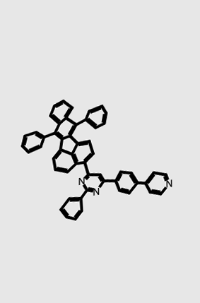 c1ccc(-c2nc(-c3ccc(-c4ccncc4)cc3)cc(-c3ccc4c5c(cccc35)-c3c-4c(-c4ccccc4)c4ccccc4c3-c3ccccc3)n2)cc1